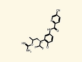 CC(C[C@@H](c1cc(NC(=O)c2ccc(C#N)cn2)ccc1Cl)C(F)F)OC(=N)N